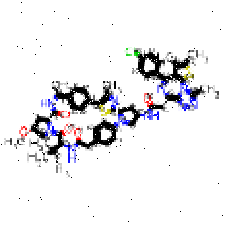 CO[C@@H]1C[C@@H](C(=O)N[C@@H](C)c2ccc(-c3scnc3C)cc2)N(C(=O)[C@@H](NC(=O)Cc2ccc(N3CC[C@@H](NC(=O)C[C@@H]4N=C(c5ccc(Cl)cc5)c5c(sc(C)c5C)-n5c(C)nnc54)C3)cc2)C(C)(C)C)C1